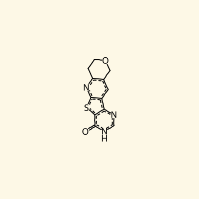 O=c1[nH]cnc2c1sc1nc3c(cc12)COCC3